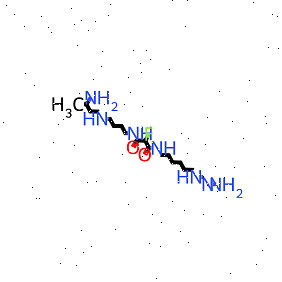 CC(N)CCNCCCCNC(=O)C(F)C(=O)NCCCCCCNC=NN